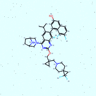 CC(C)c1cc2c(N3CC4CCC(C3)N4)nc(OCC3(CN4CCC5(CC4)CC5(F)F)CC3)nc2c(F)c1-c1cc(O)cc2ccc(F)c(F)c12